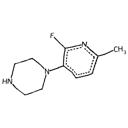 Cc1ccc(N2CCNCC2)c(F)n1